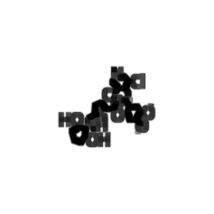 COc1ccc([C@H](Cc2c(Cl)cncc2Cl)OC(=O)c2ccc(CNc3c(O)cccc3O)s2)cc1OC